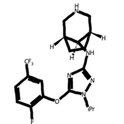 CC(C)n1nc(N[C@H]2[C@@H]3CC[C@H]2CNC3)nc1Oc1cc(C(F)(F)F)ccc1F